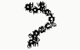 Nc1ncnc2c1c(-c1ccc(Oc3ccccc3)cc1)nn2C1CCN(CC2CCN(C(=O)N3CCC(N4CCN(c5ccc6c(c5)C(=O)N(C5CCC(=O)NC5=O)C6=O)CC4)CC3)CC2)CC1